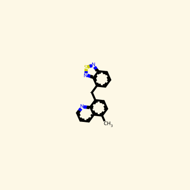 Cc1ccc([CH]c2cccc3nsnc23)c2ncccc12